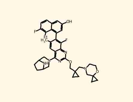 CCc1c(F)ccc2cc(O)cc(-c3c(C)cc4c(N5CC6CCC(C5)N6)nc(OCC5(CN6CCOC7(CC7)C6)CC5)nc4c3F)c12